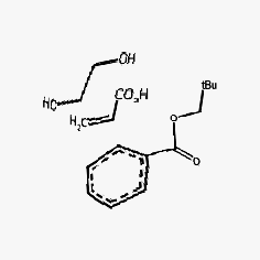 C=CC(=O)O.CC(C)(C)COC(=O)c1ccccc1.OCCO